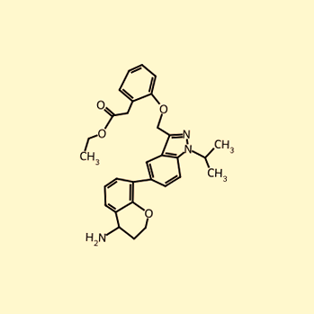 CCOC(=O)Cc1ccccc1OCc1nn(C(C)C)c2ccc(-c3cccc4c3OCCC4N)cc12